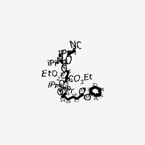 [C-]#[N+]CCOP(OCC(CO[Si](OC(C)(C)CCCC(=O)Oc1ccccc1)(C(C)C)C(C)C)(C(=O)OCC)C(=O)OCC)N(C(C)C)C(C)C